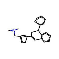 CN(C)CC1=CCC(C2=Cc3ccccc3C(c3ccccc3)C2)=C1